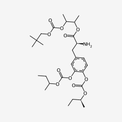 CCC(C)OC(=O)Oc1cc(C[C@H](N)C(=O)OC(C)C(C)OC(=O)OCC(C)(C)C)ccc1OC(=O)O[C@@H](C)CC